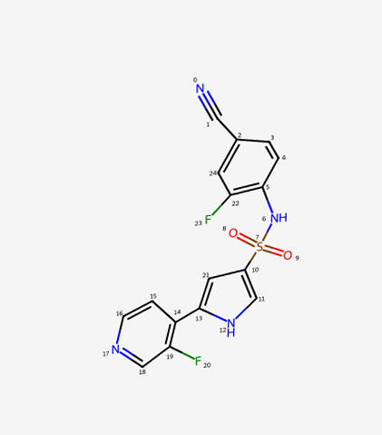 N#Cc1ccc(NS(=O)(=O)c2c[nH]c(-c3ccncc3F)c2)c(F)c1